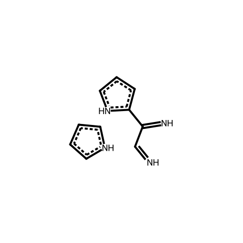 N=CC(=N)c1ccc[nH]1.c1cc[nH]c1